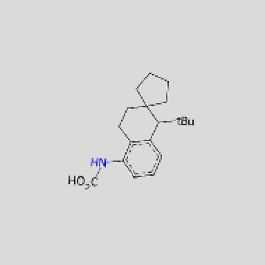 CC(C)(C)C1c2cccc(NC(=O)O)c2CCC12CCCC2